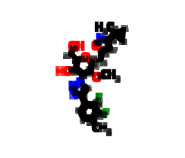 CO[C@@H]1[C@@H](n2cc(-c3ccc(C)c(F)c3F)nn2)[C@@H](O)[C@@H](CO)O[C@@H]1Cc1cc(C2(C)CC2)no1